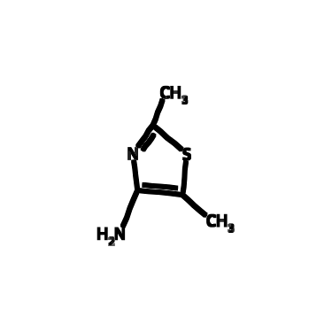 Cc1nc(N)c(C)s1